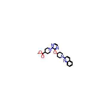 COC(=O)C1CCN(c2nccnc2OC2CCN(c3ccc4ccccc4n3)CC2)CC1